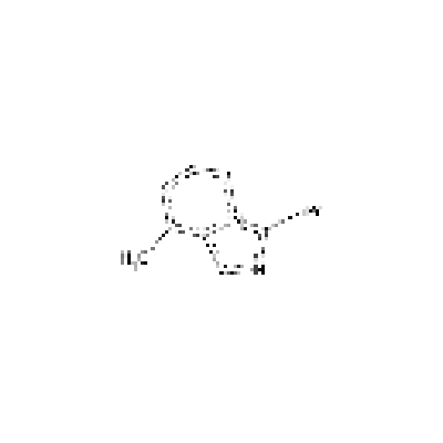 Cc1cccn2c(C(C)C)ncc12